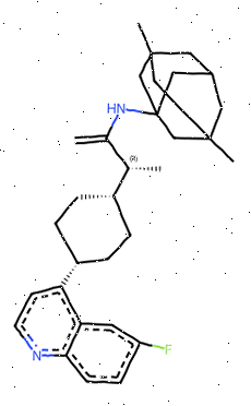 C=C(NC12CC3CC(C)(CC(C)(C3)C1)C2)[C@H](C)[C@H]1CC[C@@H](c2ccnc3ccc(F)cc32)CC1